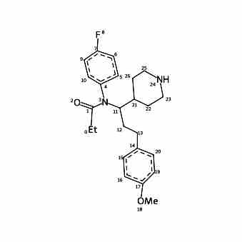 CCC(=O)N(c1ccc(F)cc1)C(CCc1ccc(OC)cc1)C1CCNCC1